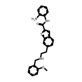 COc1ccccc1CNCCc1ccc2cc(C(=O)Nc3ccccc3N)sc2c1